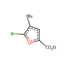 CCOC(=O)c1cc(C(C)(C)C)c(Br)o1